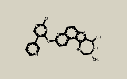 C[C@@H]1CNc2c(sc3ccc4nc(Oc5nc(Cl)ncc5-c5cccnc5)ccc4c23)C(O)N1